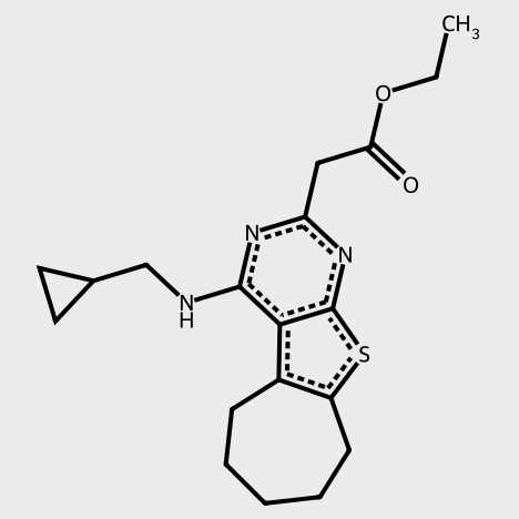 CCOC(=O)Cc1nc(NCC2CC2)c2c3c(sc2n1)CCCCC3